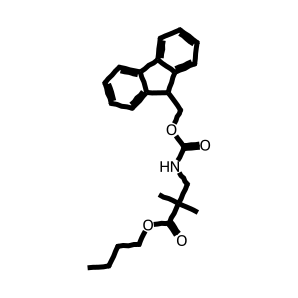 CCCCOC(=O)C(C)(C)CNC(=O)OCC1c2ccccc2-c2ccccc21